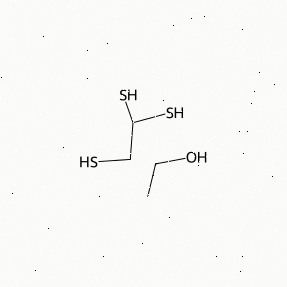 CCO.SCC(S)S